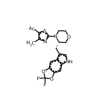 CC(=O)c1sc(N2CCOC[C@@H]2Cc2c[nH]c3cc4c(cc23)OC(F)(F)O4)nc1C